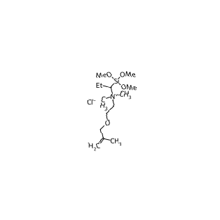 C=C(C)COCC[N+](C)(C)C(CC)[Si](OC)(OC)OC.[Cl-]